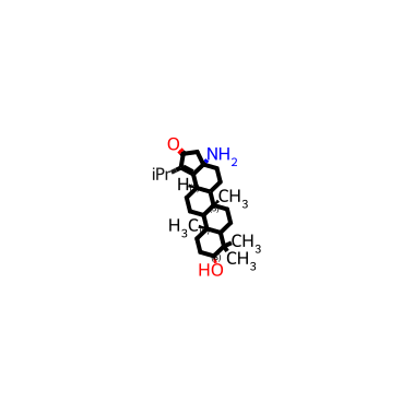 CC(C)C1=C2[C@H]3CCC4[C@@](C)(CCC5C(C)(C)[C@@H](O)CC[C@@]54C)C3CCC2(N)CC1=O